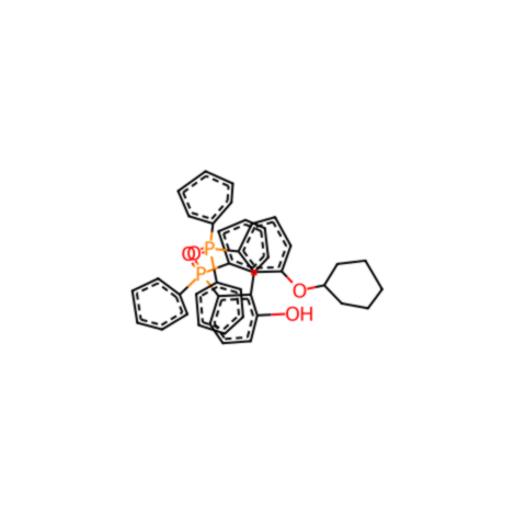 O=P(c1ccccc1)(c1ccccc1)c1cccc(O)c1-c1c(OC2CCCCC2)cccc1P(=O)(c1ccccc1)c1ccccc1